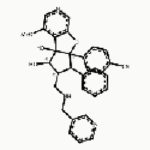 COc1cncc2c1C1(O)[C@H](O)[C@H](CNCc3cccnc3)C(c3ccccc3)[C@@]1(c1ccc(C#N)cc1)O2